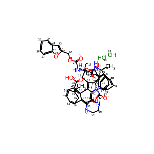 C=C1CC2=CC=C1C(C(=O)O)=C1C(C[C@](C)(NC(=O)OCc3cc4ccccc4o3)C(=O)NC(C)c3ccccc3)=c3c(c4c(c5c3=C(C(=O)O)C3=CC=C5CC3=C)N3CCN4CC3)[N@@+]21C(=O)[O-].Cl.Cl